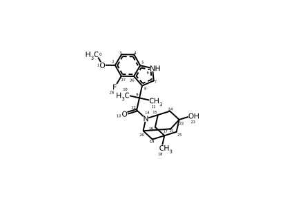 COc1ccc2[nH]cc(C(C)(C)C(=O)N3C4CC5(C)CC3CC(O)(C4)C5)c2c1F